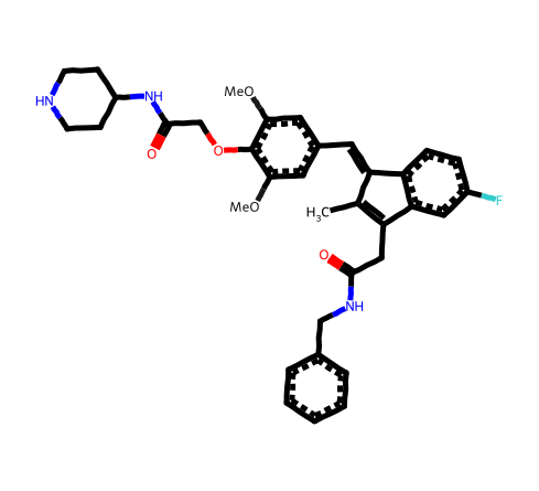 COc1cc(C=C2C(C)=C(CC(=O)NCc3ccccc3)c3cc(F)ccc32)cc(OC)c1OCC(=O)NC1CCNCC1